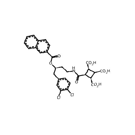 O=C(O[C@@H](CCNC(=O)C1[C@H](C(=O)O)C(C(=O)O)[C@@H]1C(=O)O)Cc1ccc(Cl)c(Cl)c1)c1ccc2ccccc2c1